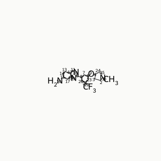 CN1CCC(Oc2cc(-c3ncc4ccc(N)cc4n3)cc(C(F)(F)F)c2)CC1